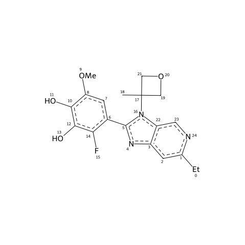 CCc1cc2nc(-c3cc(OC)c(O)c(O)c3F)n(C3(C)COC3)c2cn1